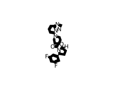 O=C1N2[C@@H](CC[C@H]2c2cc(F)cc(F)c2)OC12CCN(c1cccc3ncnn13)CC2